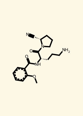 COc1ccccc1C(=O)N[C@@H](CCCN)C(=O)N1CCC[C@H]1C#N